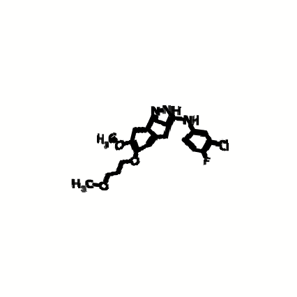 COCCCOc1cc2c(cc1OC)-c1n[nH]c(Nc3ccc(F)c(Cl)c3)c1C2